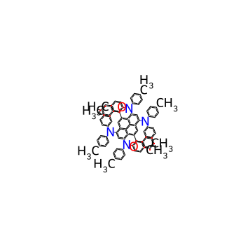 Cc1ccc(N(c2ccc(C)cc2)c2cc(N(c3ccc(C)cc3)c3ccc(C)cc3)c3c(C(=O)c4ccccc4)cc4c(N(c5ccc(C)cc5)c5ccc(C)cc5)cc(N(c5ccc(C)cc5)c5ccc(C)cc5)c5c(C(=O)c6ccccc6)cc2c3c45)cc1